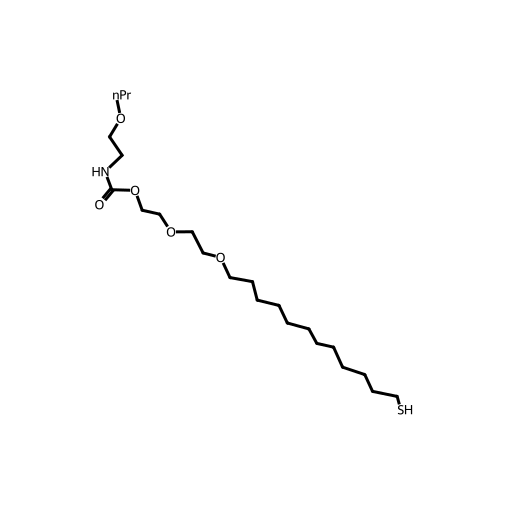 CCCOCCNC(=O)OCCOCCOCCCCCCCCCCCCS